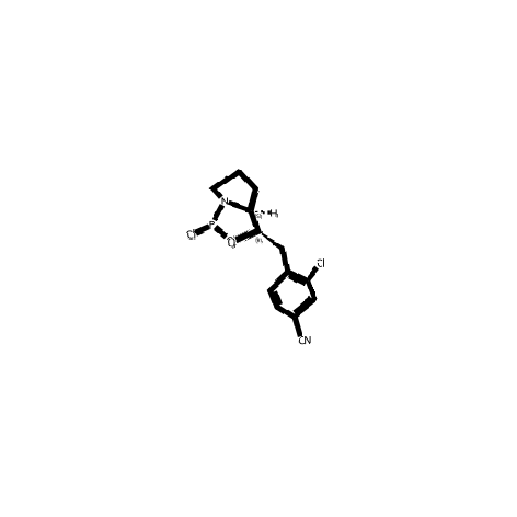 N#Cc1ccc(C[C@H]2OP(Cl)N3CCC[C@@H]23)c(Cl)c1